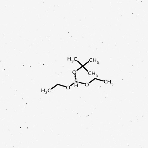 CCO[SiH](OCC)OC(C)(C)C